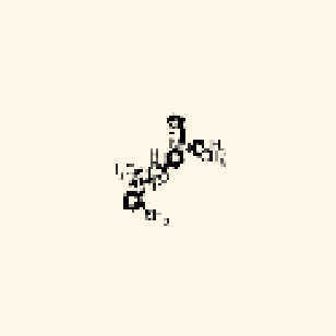 CCC(CC)n1c(Cc2cccs2)nc2cc(C(=O)N[C@@H](CC(C)C)C(=O)NCc3ccccc3OC)ccc21